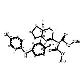 CC(C)(C)OC(=O)N(C(=O)OC(C)(C)C)C1=N[C@@]2(c3cc(Nc4ccc(Cl)cn4)ccc3F)CCC[C@H]2CS1